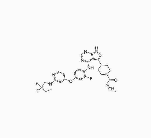 C=CC(=O)N1CCC(c2c[nH]c3ncnc(Nc4ccc(Oc5ccnc(N6CCC(F)(F)C6)c5)cc4F)c23)CC1